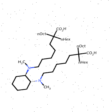 CCCCCCCCC(CCCCCC)(CCCCCN(C)[C@@H]1CCCC[C@H]1N(C)CCCCCC(CCCCCC)(CCCCCCCC)C(=O)O)C(=O)O